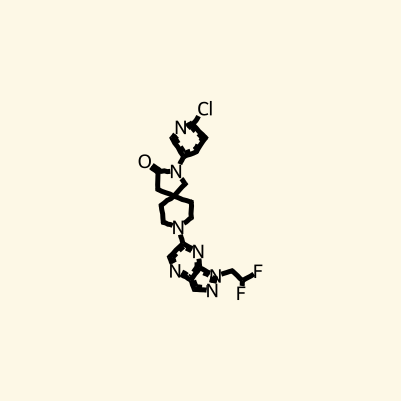 O=C1CC2(CCN(c3cnc4cnn(CC(F)F)c4n3)CC2)CN1c1ccc(Cl)nc1